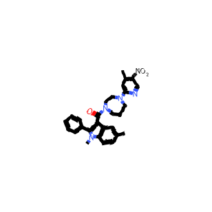 Cc1ccc2c(c1)c(C(=O)N1CCCN(c3cc(C)c([N+](=O)[O-])cn3)CC1)c(-c1ccccc1)n2C